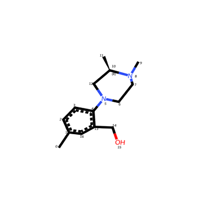 Cc1ccc(N2CCN(C)[C@H](C)C2)c(CO)c1